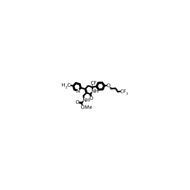 COC(=O)NCC1=C(c2ccc(C)cn2)C[C@](c2ccc(OCCCC(F)(F)F)cc2)(C(F)(F)F)NC1=O